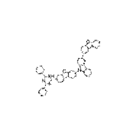 C1=CCCC(C2N=C(c3ccccc3)N=C(c3ccc4c(c3)oc3cc(-n5c6ccccc6c6cc(-c7ccc8oc9ccccc9c8c7)ccc65)ccc34)N2)=C1